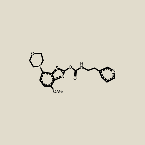 COc1ccc(N2CCOCC2)c2sc(OC(=O)NCCc3cccnc3)nc12